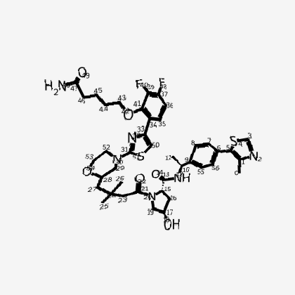 Cc1ncsc1-c1ccc([C@H](C)NC(=O)[C@@H]2C[C@@H](O)CN2C(=O)CC(C)(C)CC2CN(c3nc(-c4ccc(F)c(F)c4OCCCCC(N)=O)cs3)CCO2)cc1